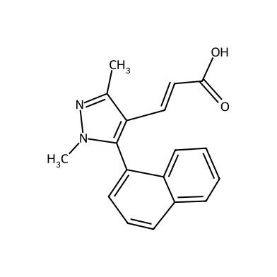 Cc1nn(C)c(-c2cccc3ccccc23)c1C=CC(=O)O